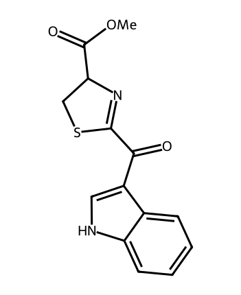 COC(=O)C1CSC(C(=O)c2c[nH]c3ccccc23)=N1